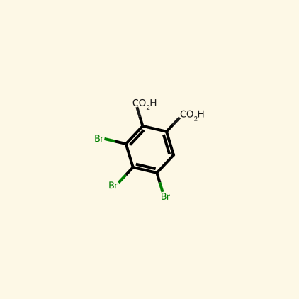 O=C(O)c1cc(Br)c(Br)c(Br)c1C(=O)O